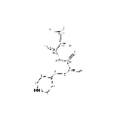 C=C(CCC1CCNCC1)C(=C)SC(=C)C(C)=C(C)C